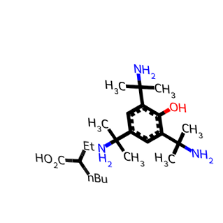 CC(C)(N)c1cc(C(C)(C)N)c(O)c(C(C)(C)N)c1.CCCCC(CC)C(=O)O